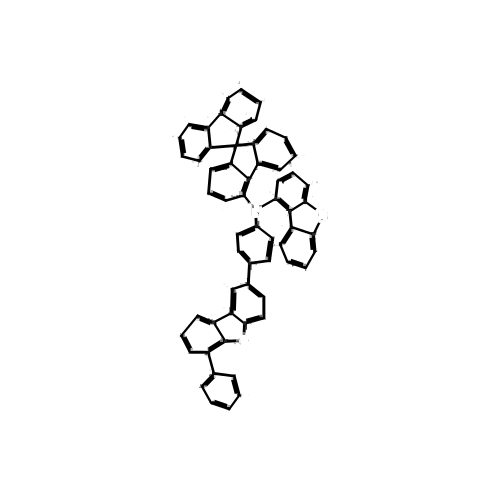 c1ccc(-c2cccc3c2oc2ccc(-c4ccc(N(c5cccc6c5-c5ccccc5C65c6ccccc6-c6ccccc65)c5cccc6oc7ccccc7c56)cc4)cc23)cc1